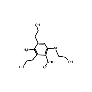 Nc1c(CCO)cc(NCCO)c([N+](=O)[O-])c1CCO